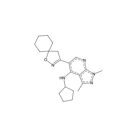 Cc1nn(C)c2ncc(C3=NOC4(CCCCC4)C3)c(NC3CCCC3)c12